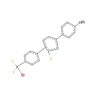 CCCc1ccc(-c2ccc(-c3ccc(C(F)(F)Br)cc3)c(F)c2)cc1